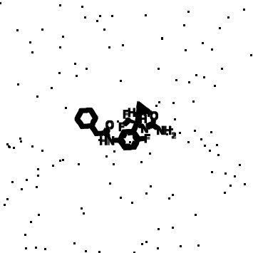 NC1=N[C@@](c2cc(NC(=O)CC3CCCCC3)ccc2F)(C(F)F)[C@H]2C[C@H]2O1